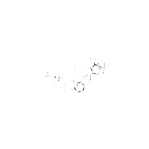 CC(=O)N1CCC(Oc2ccc3c(n2)CN(c2cn[nH]c(=O)c2C(F)(F)F)C3)CC1